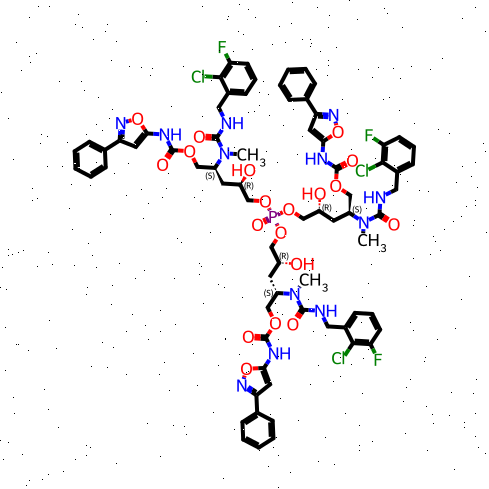 CN(C(=O)NCc1cccc(F)c1Cl)[C@H](COC(=O)Nc1cc(-c2ccccc2)no1)C[C@@H](O)COP(=O)(OC[C@H](O)C[C@@H](COC(=O)Nc1cc(-c2ccccc2)no1)N(C)C(=O)NCc1cccc(F)c1Cl)OC[C@H](O)C[C@@H](COC(=O)Nc1cc(-c2ccccc2)no1)N(C)C(=O)NCc1cccc(F)c1Cl